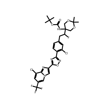 CC(C)(C)OC(=O)NC1(C(F)Cc2ccc(-c3noc(-c4cn5cc(C(F)(F)F)cc(Cl)c5n4)n3)c(Cl)c2)COC(C)(C)OC1